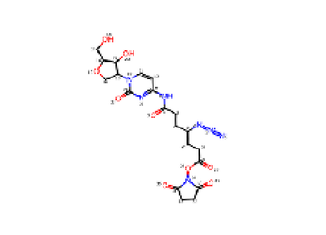 [N-]=[N+]=NC(CCC(=O)Nc1ccn(C2COC(CO)C2O)c(=O)n1)CCC(=O)ON1C(=O)CCC1=O